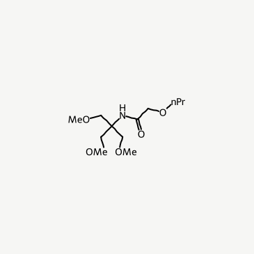 CCCOCC(=O)NC(COC)(COC)COC